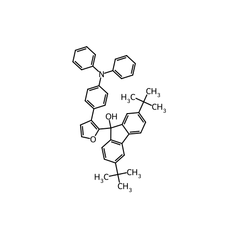 CC(C)(C)c1ccc2c(c1)-c1ccc(C(C)(C)C)cc1C2(O)c1occc1-c1ccc(N(c2ccccc2)c2ccccc2)cc1